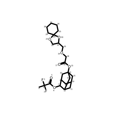 CC(F)(F)C(=O)OC1C2CC3CC1CC(OC(=O)COCC1COC4(CCCCC4)O1)(C3)C2